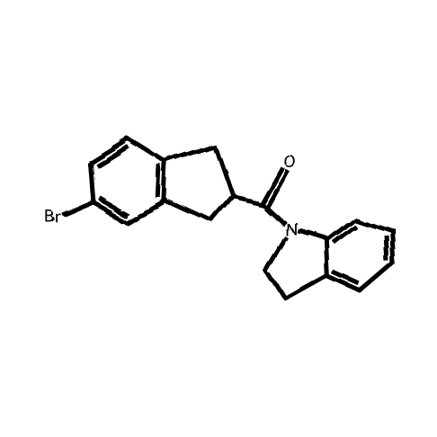 O=C(C1Cc2ccc(Br)cc2C1)N1CCc2ccccc21